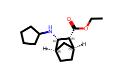 CCOC(=O)[C@@H]1[C@H]2CC[C@H](C2)[C@@H]1NC1CCCC1